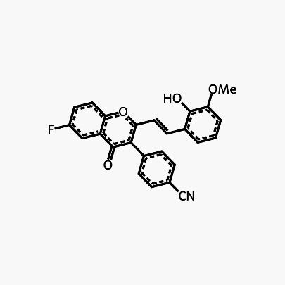 COc1cccc(C=Cc2oc3ccc(F)cc3c(=O)c2-c2ccc(C#N)cc2)c1O